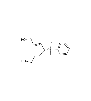 C[Si](C)(c1ccccc1)P(C=CCO)C=CCO